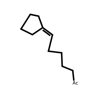 CC(=O)CCCCC=C1CCCC1